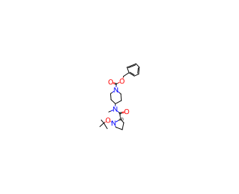 CN(C(=O)[C@H]1CCCN1OC(C)(C)C)C1CCN(C(=O)OCc2ccccc2)CC1